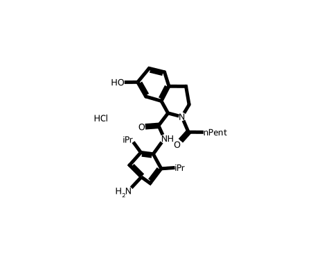 CCCCCC(=O)N1CCc2ccc(O)cc2C1C(=O)Nc1c(C(C)C)cc(N)cc1C(C)C.Cl